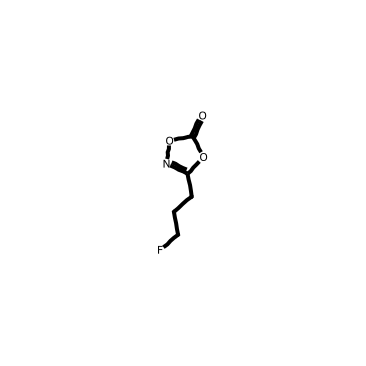 O=c1onc(CCCF)o1